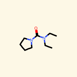 CCN(CC)C(=O)N1CCCC1